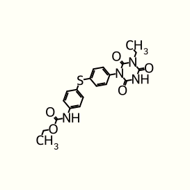 CCOC(=O)Nc1ccc(Sc2ccc(-n3c(=O)[nH]c(=O)n(CC)c3=O)cc2)cc1